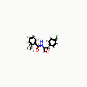 O=C(NC1CO[C@@H]1c1ccc(F)cc1)c1ccccc1C(F)(F)F